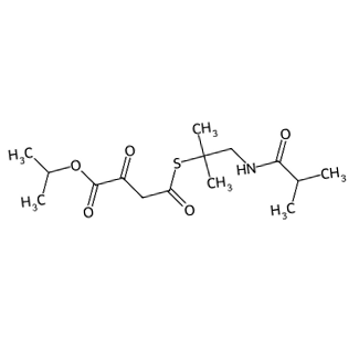 CC(C)OC(=O)C(=O)CC(=O)SC(C)(C)CNC(=O)C(C)C